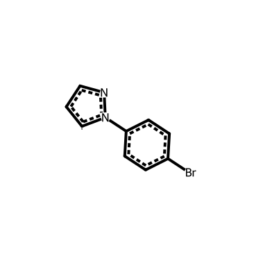 Brc1ccc(-n2[c]ccn2)cc1